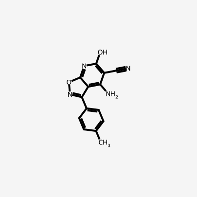 Cc1ccc(-c2noc3nc(O)c(C#N)c(N)c23)cc1